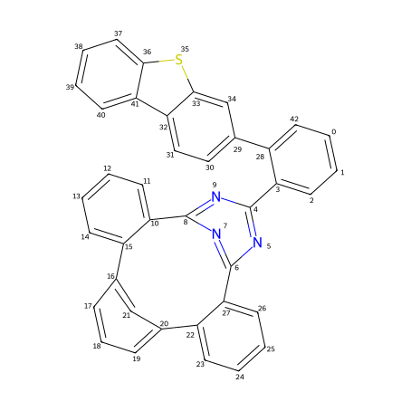 c1ccc(-c2nc3nc(n2)c2ccccc2c2cccc(c2)c2ccccc32)c(-c2ccc3c(c2)sc2ccccc23)c1